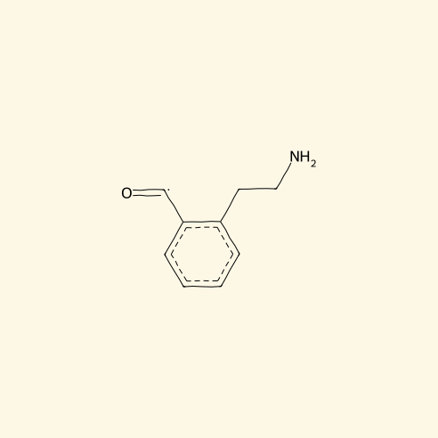 NCCc1ccccc1[C]=O